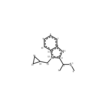 CSC(C)c1nc2ccccc2n1CC1CC1